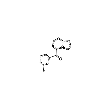 O=C(c1cccc(F)c1)c1cccc2cccn12